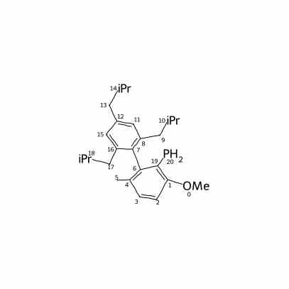 COc1ccc(C)c(-c2c(CC(C)C)cc(CC(C)C)cc2CC(C)C)c1P